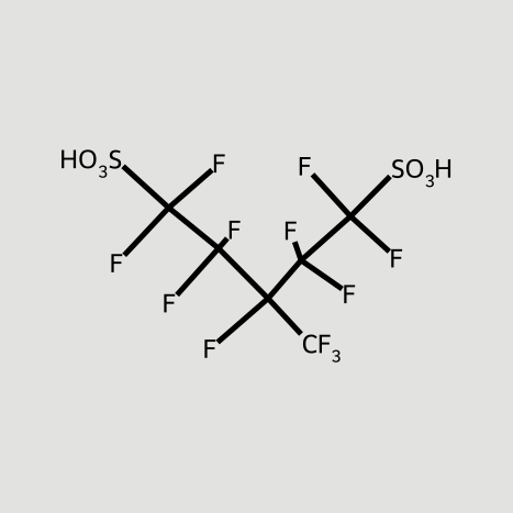 O=S(=O)(O)C(F)(F)C(F)(F)C(F)(C(F)(F)F)C(F)(F)C(F)(F)S(=O)(=O)O